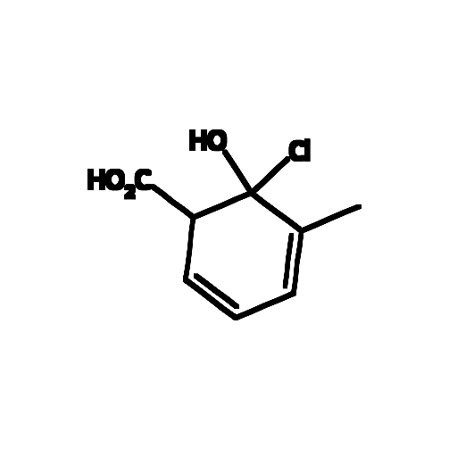 CC1=CC=CC(C(=O)O)C1(O)Cl